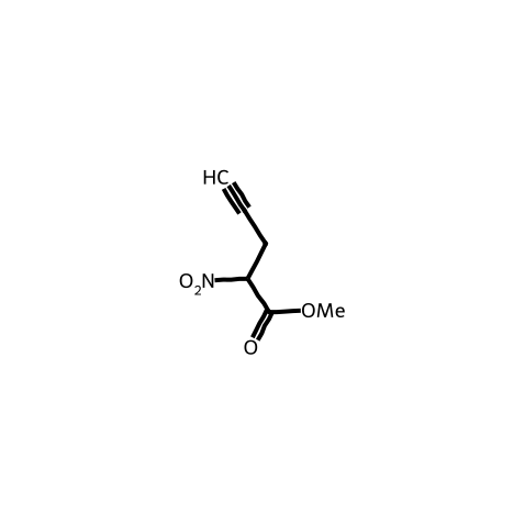 C#CCC(C(=O)OC)[N+](=O)[O-]